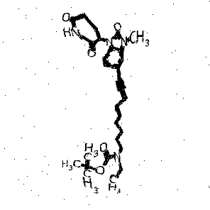 CCN(CCCCCCCC#Cc1ccc2c(c1)n(C)c(=O)n2C1CCC(=O)NC1=O)C(=O)OC(C)(C)C